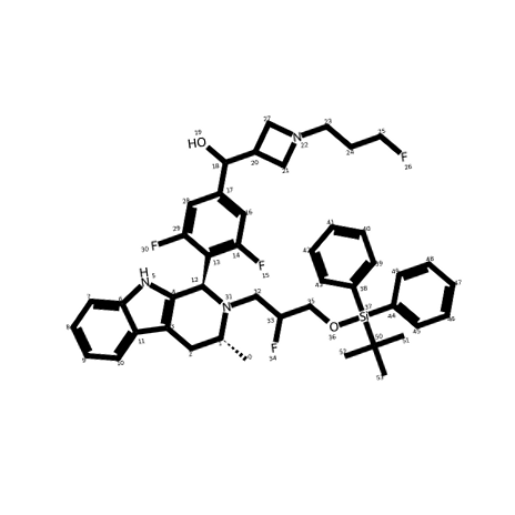 C[C@@H]1Cc2c([nH]c3ccccc23)[C@@H](c2c(F)cc(C(O)C3CN(CCCF)C3)cc2F)N1CC(F)CO[Si](c1ccccc1)(c1ccccc1)C(C)(C)C